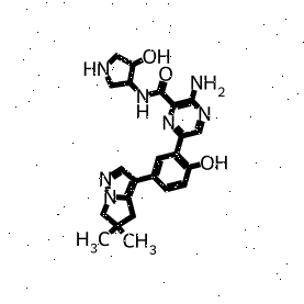 CC1(C)Cc2c(-c3ccc(O)c(-c4cnc(N)c(C(=O)NC5CNCC5O)n4)c3)cnn2C1